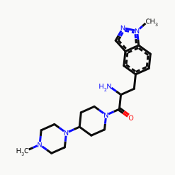 CN1CCN(C2CCN(C(=O)C(N)Cc3ccc4c(cnn4C)c3)CC2)CC1